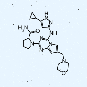 NC(=O)[C@@H]1CCCN1c1nc(Nc2cc(C3CC3)[nH]n2)n2cc(CN3CCOCC3)cc2n1